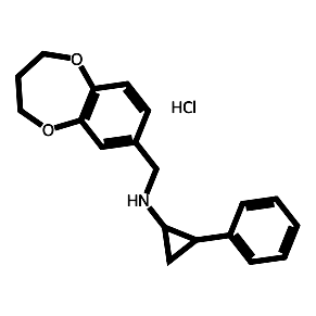 Cl.c1ccc(C2CC2NCc2ccc3c(c2)OCCCO3)cc1